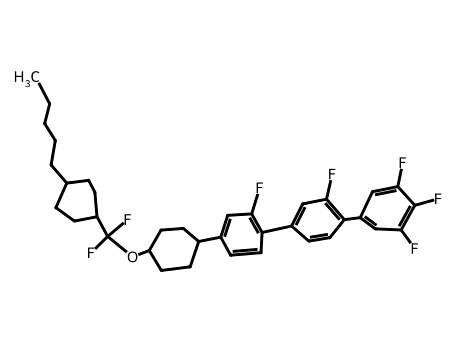 CCCCCC1CCC(C(F)(F)OC2CCC(c3ccc(-c4ccc(-c5cc(F)c(F)c(F)c5)c(F)c4)c(F)c3)CC2)CC1